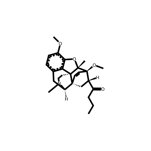 CCCC(=O)[C@@H]1C[C@@]23C=C[C@]1(OC)[C@@]1(C)Oc4c(OC)ccc5c4[C@@]12CCN(C)[C@@H]3C5